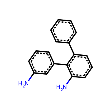 Nc1cccc(-c2c(N)cccc2-c2ccccc2)c1